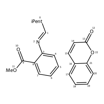 CCCC(C)C=Nc1ccccc1C(=O)OC.O=c1ccc2ccccc2o1